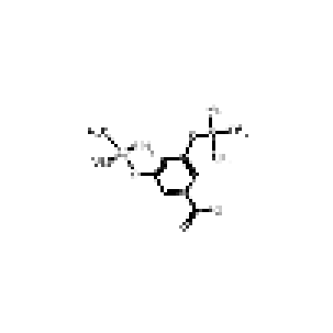 CC(C)(C)[Si](C)(C)Oc1cc(O[Si](C)(C)C(C)(C)C)cc(C(=O)Cl)c1